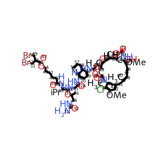 COc1cc2cc(c1Cl)N(C)C(=O)C[C@H](OC(=O)Nc1ccc(NC(=O)[C@H](CCCNC(N)=O)NC(=O)[C@@H](NC(=O)CCCCCOC(=O)C(CBr)CBr)C(C)C)c3ncccc13)[C@]1(C)O[C@H]1[C@H](C)[C@@H]1C[C@@](O)(NC(=O)O1)[C@H](OC)/C=C/C=C(\C)C2